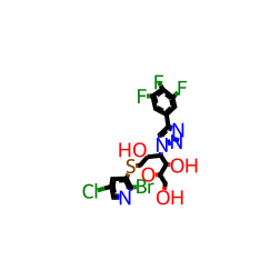 OCC1OC(Sc2cc(Cl)cnc2Br)C(O)C(n2cc(-c3cc(F)c(F)c(F)c3)nn2)C1O